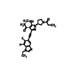 C=CC(=O)N1CC[C@H](n2nc(C#Cc3cc4ncn(CC)c4c(F)c3F)c(C(N)=O)c2NC)C1